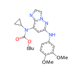 COc1ccc(Nc2cc(N(C(=O)OC(C)(C)C)C3CC3)c3nccn3n2)cc1OC